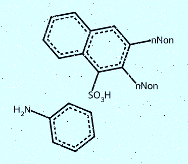 CCCCCCCCCc1cc2ccccc2c(S(=O)(=O)O)c1CCCCCCCCC.Nc1ccccc1